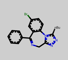 CCCCc1nnc2n1-c1ccc(Br)cc1C(c1ccccc1)=NC2